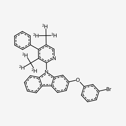 [2H]C([2H])([2H])c1cnc(-n2c3ccccc3c3ccc(Oc4cccc(Br)c4)cc32)c(C([2H])([2H])[2H])c1-c1ccccc1